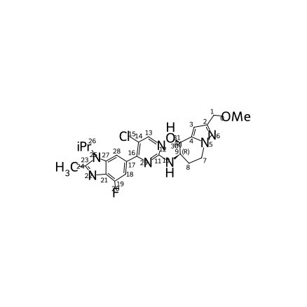 COCc1cc2n(n1)CC[C@@H](Nc1ncc(Cl)c(-c3cc(F)c4nc(C)n(C(C)C)c4c3)n1)[C@H]2O